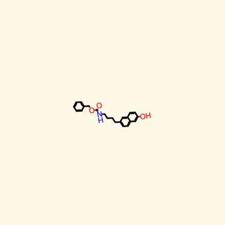 O=C(NCCCCc1ccc2cc(O)ccc2c1)OCc1ccccc1